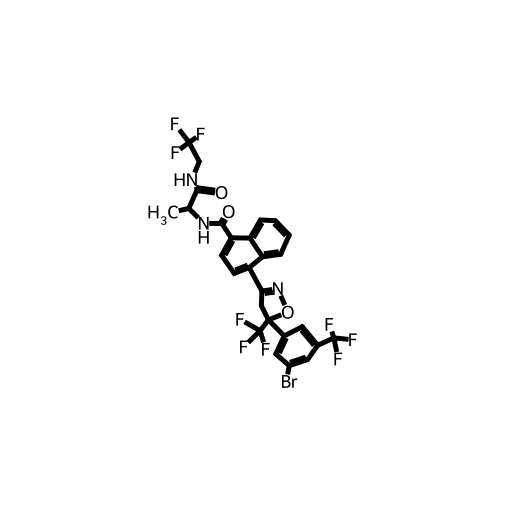 CC(NC(=O)c1ccc(C2=NOC(c3cc(Br)cc(C(F)(F)F)c3)(C(F)(F)F)C2)c2ccccc12)C(=O)NCC(F)(F)F